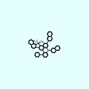 CC1(C)c2ccc(-c3c(-c4ccccc4)cccc3N(c3cccc(-c4ccc5ccccc5c4)c3)c3ccc4ccccc4c3)cc2-c2ccc3ccccc3c21